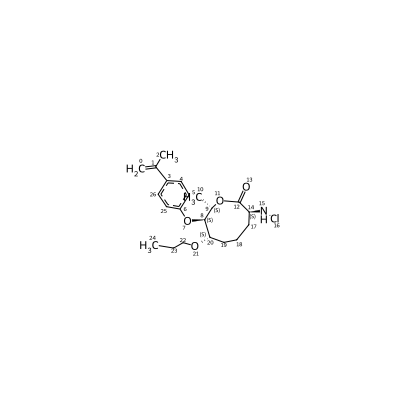 C=C(C)c1ccc(O[C@H]2[C@H](C)OC(=O)[C@@H](NCl)CCC[C@@H]2OCCC)cc1